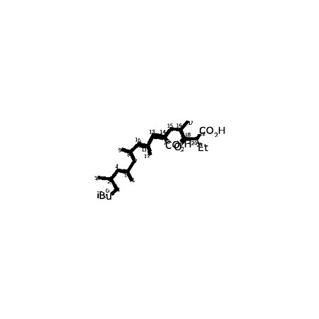 CCC(C)CC(C)CC(C)CC(C)/C=C(C)/C=C(/CC(C)C(=O)[C@@H](CC)C(=O)O)C(=O)O